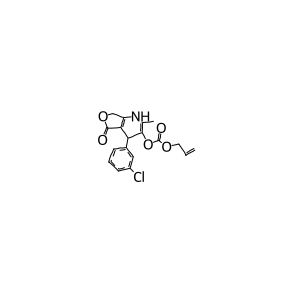 C=CCOC(=O)OC1=C(C)NC2=C(C(=O)OC2)C1c1cccc(Cl)c1